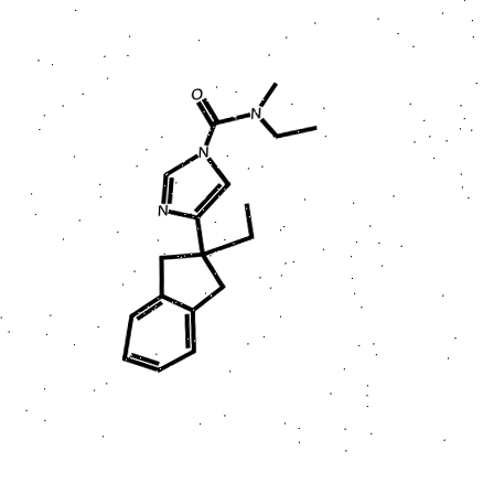 CCN(C)C(=O)n1cnc(C2(CC)Cc3ccccc3C2)c1